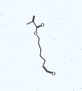 C=C(C)C(=O)OCCCCCC=C=O